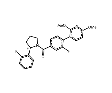 COc1ccc(-c2ccc(C(=O)N3CCC[C@@H]3c3ccccc3F)cc2F)c(OC)n1